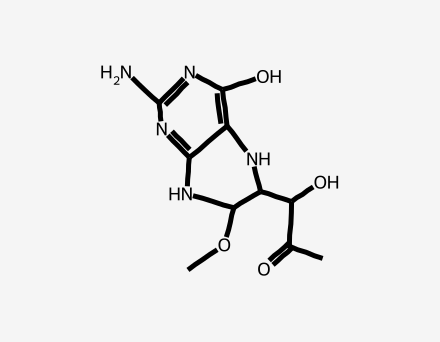 COC1Nc2nc(N)nc(O)c2NC1C(O)C(C)=O